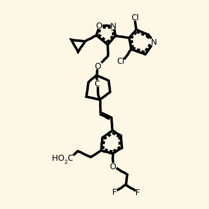 O=C(O)CCc1cc(C=CC23CCC(OCc4c(-c5c(Cl)cncc5Cl)noc4C4CC4)(CC2)CC3)ccc1OCC(F)F